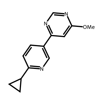 COc1cc(-c2ccc(C3CC3)nc2)ncn1